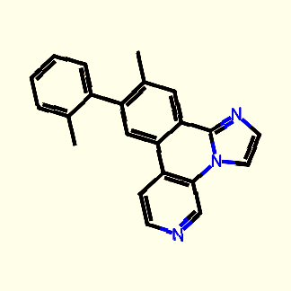 Cc1ccccc1-c1cc2c3ccncc3n3ccnc3c2cc1C